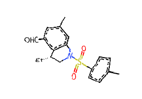 CC[C@H]1CN(S(=O)(=O)c2ccc(C)cc2)c2cc(C)cc(C=O)c21